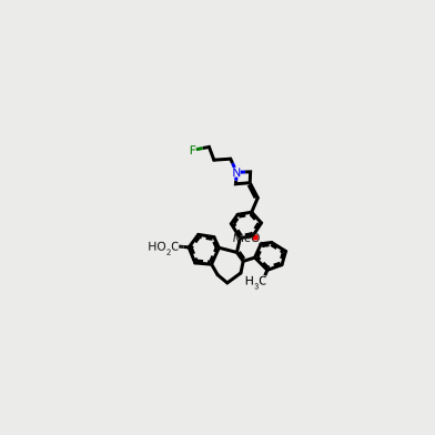 COc1cccc(C)c1C1=C(c2ccc(C=C3CN(CCCF)C3)cc2)c2ccc(C(=O)O)cc2CCC1